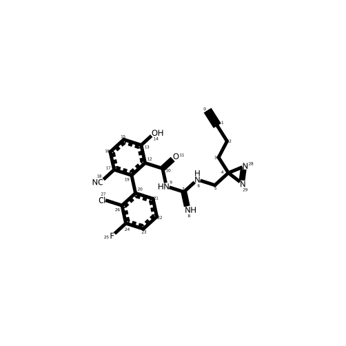 C#CCCC1(CNC(=N)NC(=O)c2c(O)ccc(C#N)c2-c2cccc(F)c2Cl)N=N1